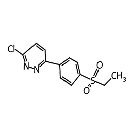 CCS(=O)(=O)c1ccc(-c2ccc(Cl)nn2)cc1